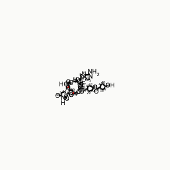 Nc1ncnc2c1ncn2[C@@H]1O[C@@H]2COP(=O)(O)O[C@@H]3C[C@@H](COP(=O)(SCc4ccc(OC(=O)c5ccc(O)cc5)cc4)O[C@H]2[C@H]1F)O[C@H]3n1ccc(=O)[nH]c1=O